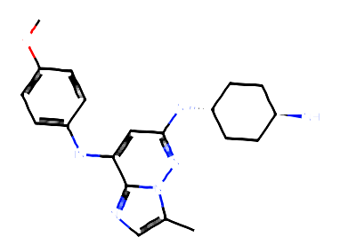 CCOc1ccc(Nc2cc(N[C@H]3CC[C@H](N)CC3)nn3c(C)cnc23)cc1